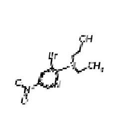 CCN(CCO)c1ncc([N+](=O)[O-])cc1Br